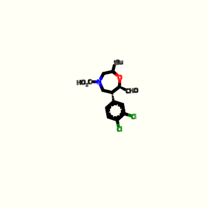 CC(C)(C)C1CN(C(=O)O)C[C@@H](c2ccc(Cl)c(Cl)c2)[C@H](C=O)O1